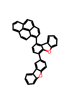 c1cc2ccc3ccc(-c4ccc(-c5ccc6oc7ccccc7c6c5)c5oc6ccccc6c45)c4ccc(c1)c2c34